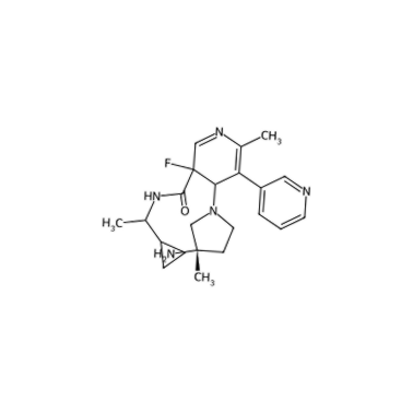 CC1=C(c2cccnc2)C(N2CC[C@](C)(N)C2)C(F)(C(=O)NC(C)C2CC2)C=N1